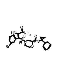 NC(=O)c1[nH]c2ccc(Br)cc2c1S(=O)(=O)N1CCOC(C(=O)NC2(c3ccccc3)CC2)C1